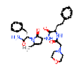 CC1C[C@@H](NC(=O)[C@@H](CCc2ccccc2)NC(=O)CN2CCOCC2)C(=O)N1[C@@H](Cc1ccccc1)C(N)=O